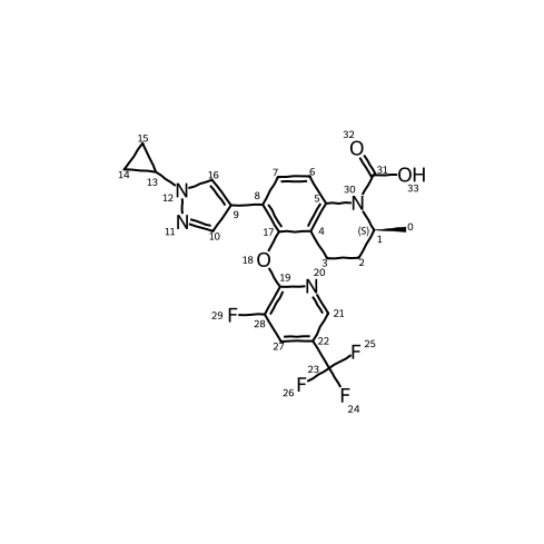 C[C@H]1CCc2c(ccc(-c3cnn(C4CC4)c3)c2Oc2ncc(C(F)(F)F)cc2F)N1C(=O)O